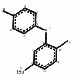 Cc1ccc(Sc2cc(C(C)(C)C)ccc2C)cc1